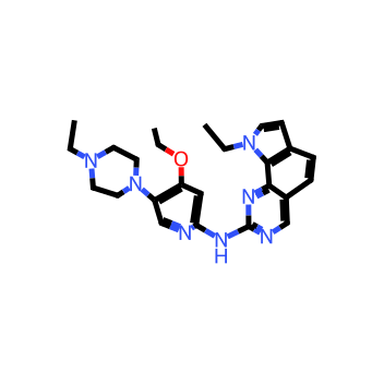 CCOc1cc(Nc2ncc3ccc4ccn(CC)c4c3n2)ncc1N1CCN(CC)CC1